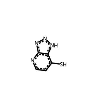 Sc1ccnc2nn[nH]c12